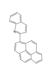 c1ccc2nc(-c3ccc4ccc5cccc6ccc3c4c56)ccc2c1